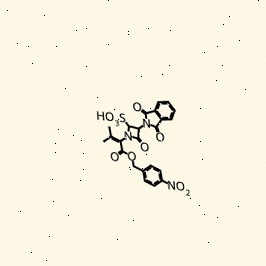 CC(C)=C(C(=O)OCc1ccc([N+](=O)[O-])cc1)N1C(=O)C(N2C(=O)c3ccccc3C2=O)C1S(=O)(=O)O